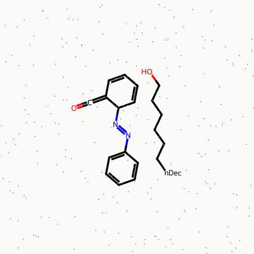 CCCCCCCCCCCCCCCCO.O=C=C1C=CC=CC1N=Nc1ccccc1